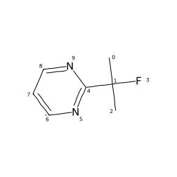 CC(C)(F)c1n[c]ccn1